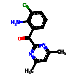 Cc1cc(C)nc(C(=O)c2cccc(Cl)c2N)n1